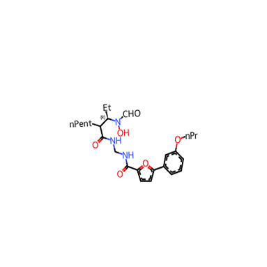 CCCCCC(C(=O)NCNC(=O)c1ccc(-c2cccc(OCCC)c2)o1)[C@@H](CC)N(O)C=O